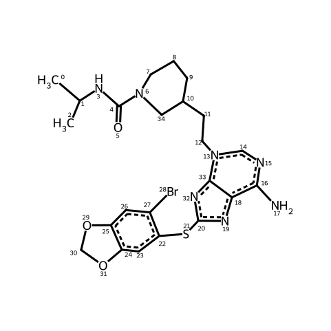 CC(C)NC(=O)N1CCCC(CCn2cnc(N)c3nc(Sc4cc5c(cc4Br)OCO5)nc2-3)C1